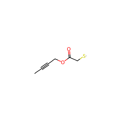 CC#CCOC(=O)C[S]